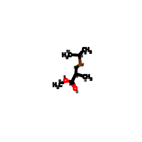 COC(=O)C(C)CSC(C)C